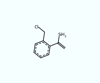 C=C([SiH3])c1ccccc1CCl